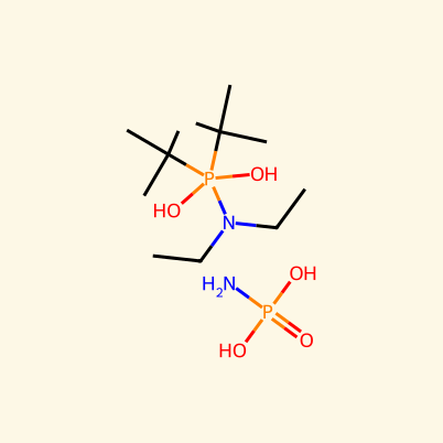 CCN(CC)P(O)(O)(C(C)(C)C)C(C)(C)C.NP(=O)(O)O